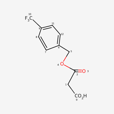 O=C(O)CC(=O)OCc1ccc(C(F)(F)F)cc1